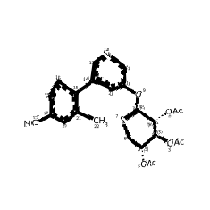 CC(=O)O[C@@H]1[C@@H](OC(C)=O)[C@H](OC(C)=O)CS[C@H]1Oc1cncc(-c2ccc(C#N)cc2C)c1